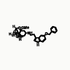 CO[C@@H]1O[C@H]2O[C@]3(OC)C[C@@H](NCCc4c[nH]c5ccc(OCc6ccccc6)cc45)C[C@H](C2C)[C@H]13